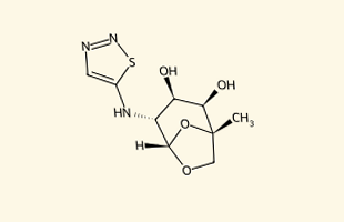 C[C@@]12CO[C@@H](O1)[C@H](Nc1cnns1)[C@@H](O)[C@H]2O